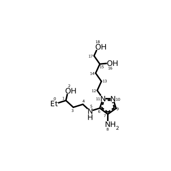 CCC(O)CCNc1c(N)cnn1CCCC(O)CO